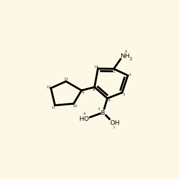 Nc1ccc(B(O)O)c(C2CCCC2)c1